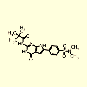 CN(C)S(=O)(=O)c1ccc(-c2cc3c(=O)[nH]c(NC(=O)C(C)(C)C)nc3[nH]2)cc1